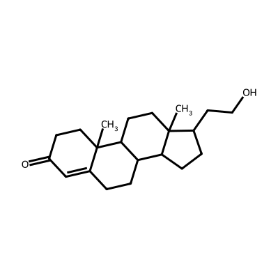 CC12CCC(=O)C=C1CCC1C2CCC2(C)C(CCO)CCC12